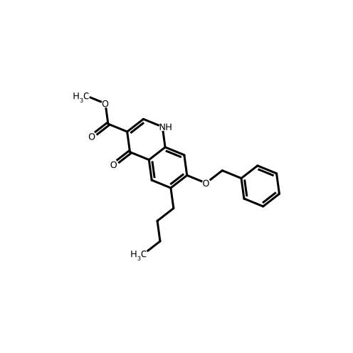 CCCCc1cc2c(=O)c(C(=O)OC)c[nH]c2cc1OCc1ccccc1